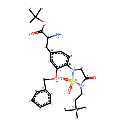 CC(C)(C)OC(=O)C(N)Cc1ccc(N2CC(=O)N(CC[Si](C)(C)C)S2(=O)=O)c(OCc2ccccc2)c1